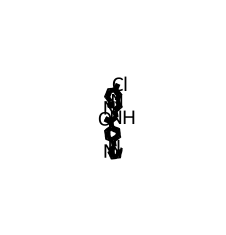 O=C(Nc1cn2cc(Cl)ccc2n1)c1ccc(-n2cccn2)cc1